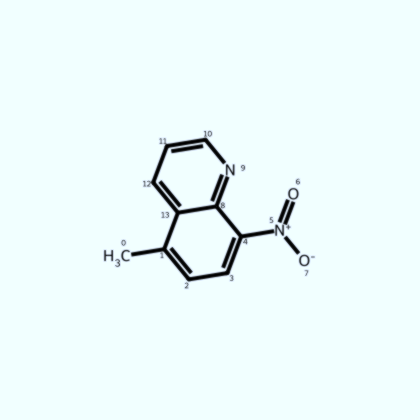 Cc1ccc([N+](=O)[O-])c2ncccc12